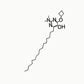 CCCCCCCCCCCCCCCCc1nc(N(C)C)nc(OC2CCC2)c1O